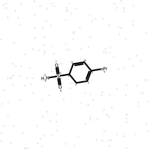 CCCC1=CCC(S(N)(=O)=O)C=C1